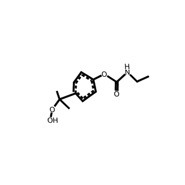 CCNC(=O)Oc1ccc(C(C)(C)OO)cc1